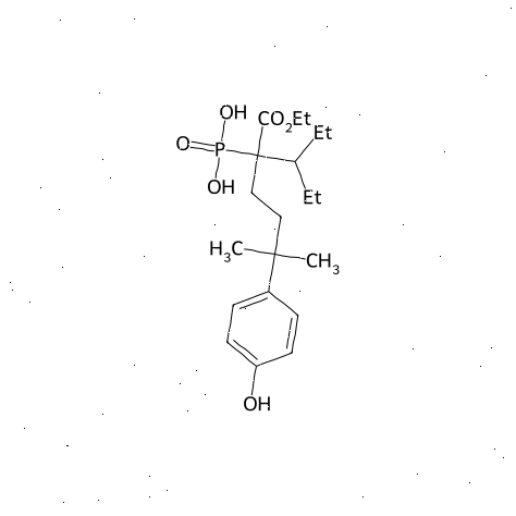 CCOC(=O)C(CCC(C)(C)c1ccc(O)cc1)(C(CC)CC)P(=O)(O)O